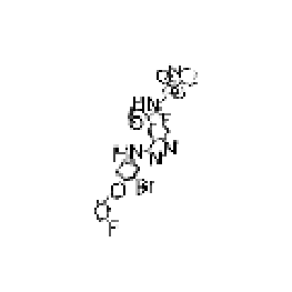 CC(NCCS(=O)(=O)c1ccccn1)C1(c2cc3c(Nc4ccc(OCc5cccc(F)c5)c(Br)c4)ncnc3cc2F)CC=CO1